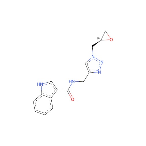 O=C(NCc1cn(C[C@H]2CO2)nn1)c1c[nH]c2ccccc12